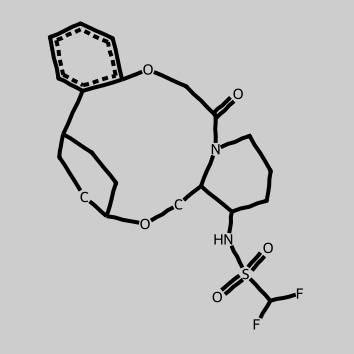 O=C1COc2ccccc2C2CCC(CC2)OCC2C(NS(=O)(=O)C(F)F)CCCN12